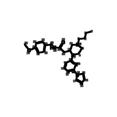 CCCCN1CCN(c2ccnc(-n3ccnc3)n2)C(CC(=O)NCc2ccc(OC)cc2)C1